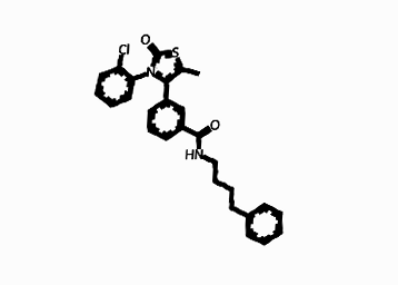 Cc1sc(=O)n(-c2ccccc2Cl)c1-c1cccc(C(=O)NCCCCc2ccccc2)c1